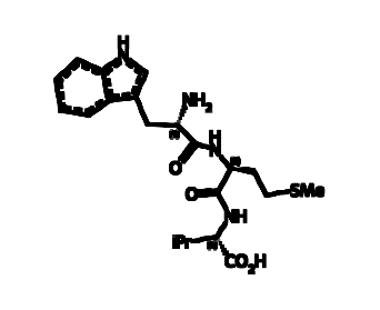 CSCC[C@H](NC(=O)[C@@H](N)Cc1c[nH]c2ccccc12)C(=O)N[C@H](C(=O)O)C(C)C